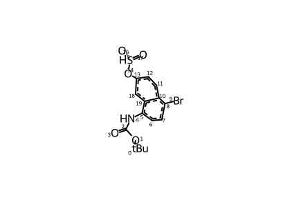 CC(C)(C)OC(=O)Nc1ccc(Br)c2ccc(O[SH](=O)=O)cc12